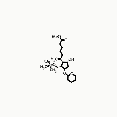 C=C(CCCCC(=O)OC)[C@H]1[C@H](CO[Si](C)(C)C(C)(C)C)[C@@H](OC2CCCCO2)C[C@H]1O